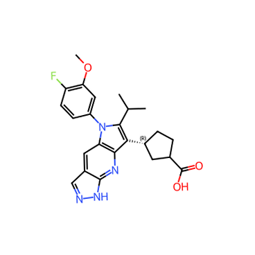 COc1cc(-n2c(C(C)C)c([C@@H]3CCC(C(=O)O)C3)c3nc4[nH]ncc4cc32)ccc1F